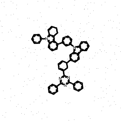 C1=CC(c2ccc3c4ccccc4n(-c4cccc(-c5cccc6c5c5c(n6-c6ccccc6)C=CCC5)c4)c3c2)CC(c2nc(-c3ccccc3)nc(-c3ccccc3)n2)=C1